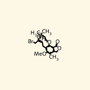 COc1c(C)c2c(c(OCC[Si](C)(C)C)c1CC=C(C)CBr)C(=O)OC2